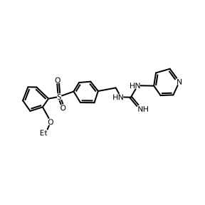 CCOc1ccccc1S(=O)(=O)c1ccc(CNC(=N)Nc2ccncc2)cc1